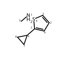 CN.c1csc(C2CC2)c1